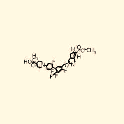 CCOC(=O)[C@H]1[C@@H]2Cc3cc(OCc4cc(-c5ccc(N6CCC(C(C)(C)O)CC6)cc5F)c(C(F)(F)F)cc4F)ncc3[C@@H]21